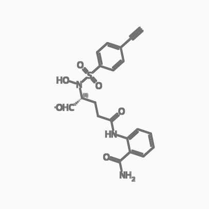 C#Cc1ccc(S(=O)(=O)N(O)[C@@H]([C]=O)CCC(=O)Nc2ccccc2C(N)=O)cc1